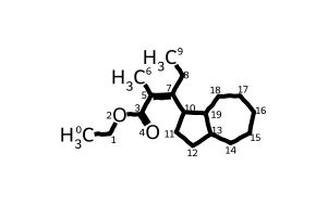 CCOC(=O)C(C)=C(CC)C1CCC2CCCCCC21